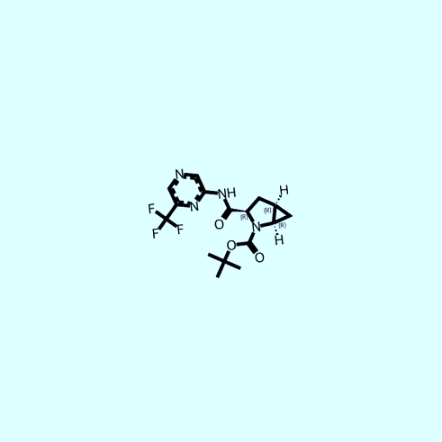 CC(C)(C)OC(=O)N1[C@@H](C(=O)Nc2cncc(C(F)(F)F)n2)C[C@H]2C[C@H]21